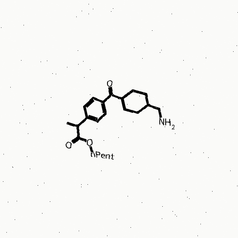 CCCCCOC(=O)C(C)c1ccc(C(=O)C2CCC(CN)CC2)cc1